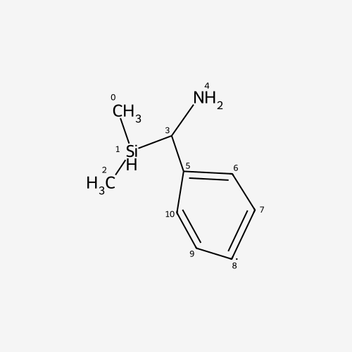 C[SiH](C)C(N)c1cc[c]cc1